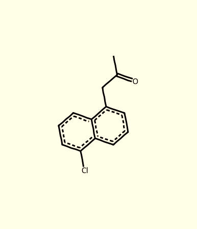 CC(=O)Cc1cccc2c(Cl)cccc12